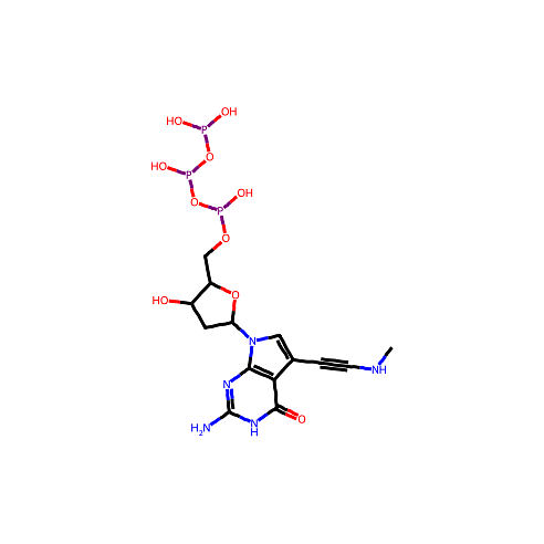 CNC#Cc1cn(C2CC(O)C(COP(O)OP(O)OP(O)O)O2)c2nc(N)[nH]c(=O)c12